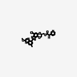 COc1cnc2c(-c3nc4c(Cl)cc5c(c4s3)OC[C@H](COC(=O)Nc3cccnc3)O5)cc(C)cc2n1